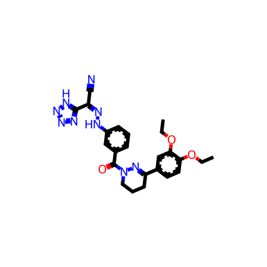 CCOc1ccc(C2=NN(C(=O)c3cccc(N/N=C(/C#N)c4nnn[nH]4)c3)CCC2)cc1OCC